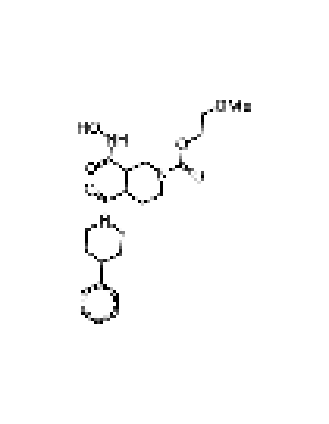 COCCOC(=O)N1CCC(C(=O)N2CCC(c3ccccc3)CC2)C(C(=O)NO)C1